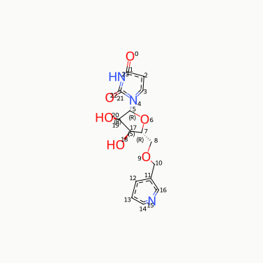 O=c1ccn([C@@H]2O[C@H](COCc3cccnc3)[C@@H](O)[C@H]2O)c(=O)[nH]1